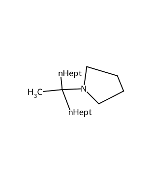 CCCCCCCC(C)(CCCCCCC)N1CCCC1